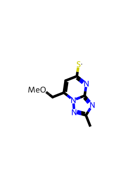 COCc1cc([S])nc2nc(C)nn12